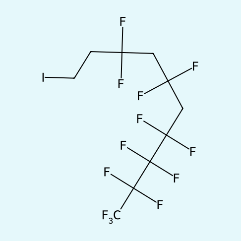 FC(F)(CCI)CC(F)(F)CC(F)(F)C(F)(F)C(F)(F)C(F)(F)F